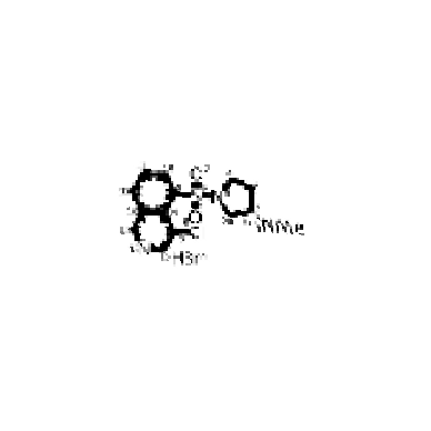 Br.CN[C@H]1CCN(S(=O)(=O)c2cccc3cncc(Cl)c23)C1